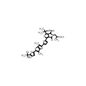 CCCCCCCCC(C)CN1C(=O)c2c(-c3ccc(-c4sc5c(C)c(-c6ccc(C(C)(CC)CCCC)s6)sc5c4C)s3)sc(C(C)(C)CCCCC)c2C1=O